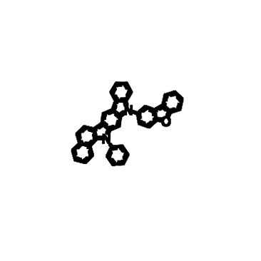 c1ccc(-n2c3cc4c(cc3c3ccc5ccccc5c32)c2ccccc2n4-c2ccc3oc4ccccc4c3c2)cc1